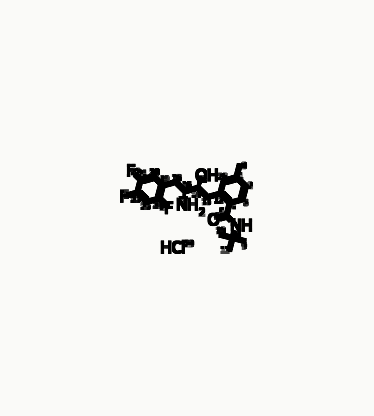 Cc1ccc(C(=O)NC(C)(C)C)c(C[C@H](O)[C@H](N)Cc2cc(F)c(F)cc2F)c1.Cl